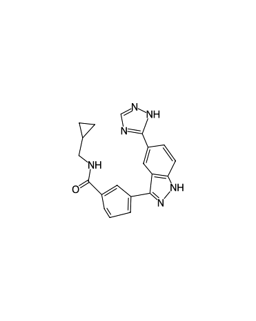 O=C(NCC1CC1)c1cccc(-c2n[nH]c3ccc(-c4ncn[nH]4)cc23)c1